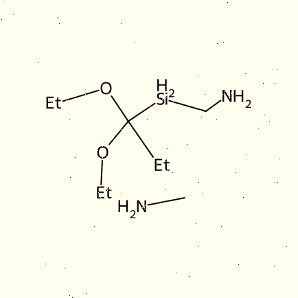 CCOC(CC)(OCC)[SiH2]CN.CN